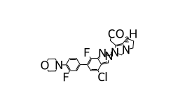 O=C(O)CC1=C2CCCN2CN1n1cc2c(Cl)cc(-c3ccc(N4CCOCC4)c(F)c3)c(F)c2n1